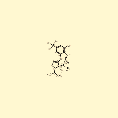 CC(C)C1CC=C(n2c(S)nc3c(Cl)cc(C(F)(F)F)cc32)[C@@]1(C)C(C)C